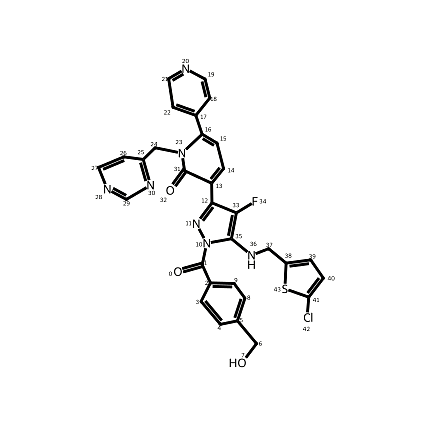 O=C(c1ccc(CO)cc1)n1nc(-c2ccc(-c3ccncc3)n(Cc3ccncn3)c2=O)c(F)c1NCc1ccc(Cl)s1